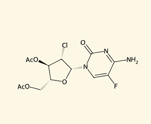 CC(=O)OC[C@H]1O[C@@H](n2cc(F)c(N)nc2=O)[C@@H](Cl)[C@@H]1OC(C)=O